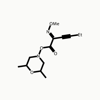 CCC#CC(=NOC)C(=O)ON1CC(C)OC(C)C1